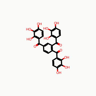 O=C(c1ccc(C(=O)c2ccc(O)c(O)c2O)c(C(=O)c2ccc(O)c(O)c2O)c1)c1ccc(O)c(O)c1O